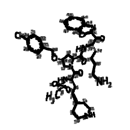 CS(=O)(=O)N[C@H](CC=C1CCNCC1)C(=O)N1C[C@H](OCc2ccc(Cl)cc2)C[C@H]1C(=O)N[C@@H](CCCCN)C(=O)c1nc2ccccc2o1